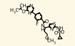 COCCC(NC(=O)c1ccc(-c2cncc(OC(C)C)n2)cc1F)c1csc(NS(=O)(=O)C2CC2)n1